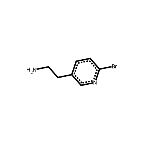 NCCc1ccc(Br)nc1